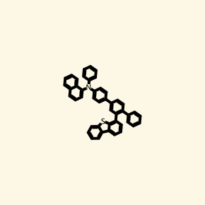 c1ccc(-c2ccc(-c3ccc(N(c4ccccc4)c4cccc5ccccc45)cc3)cc2-c2cccc3c2sc2ccccc23)cc1